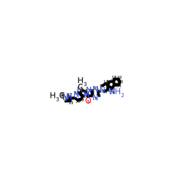 CC1CN(C(=O)c2ncc(N3CCC4(CC3)Cc3ccccc3[C@H]4N)nc2N)c2ccc(-c3ccn(C)n3)nc21